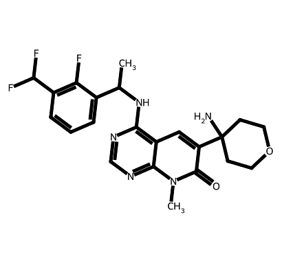 CC(Nc1ncnc2c1cc(C1(N)CCOCC1)c(=O)n2C)c1cccc(C(F)F)c1F